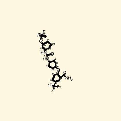 NC(=O)c1cc(C(F)(F)F)ccc1OC1CCC(NC(=O)Nc2cccc(OC(F)(F)F)c2)CC1